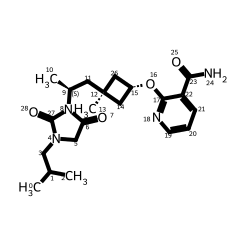 CC(C)CN1CC(=O)N([C@@H](C)C[C@]2(C)C[C@@H](Oc3ncccc3C(N)=O)C2)C1=O